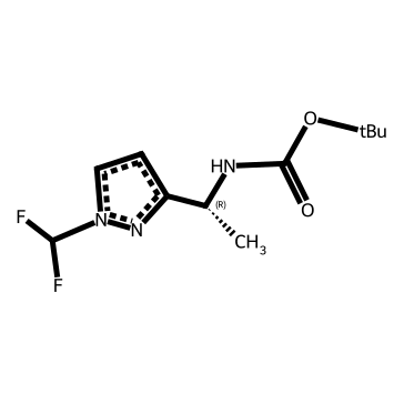 C[C@@H](NC(=O)OC(C)(C)C)c1ccn(C(F)F)n1